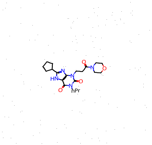 CCCn1c(=O)c2[nH]c(C3CCCC3)nc2n(CCC(=O)N2CCOCC2)c1=O